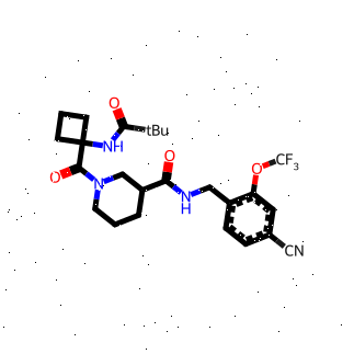 CC(C)(C)C(=O)NC1(C(=O)N2CCCC(C(=O)NCc3ccc(C#N)cc3OC(F)(F)F)C2)CCC1